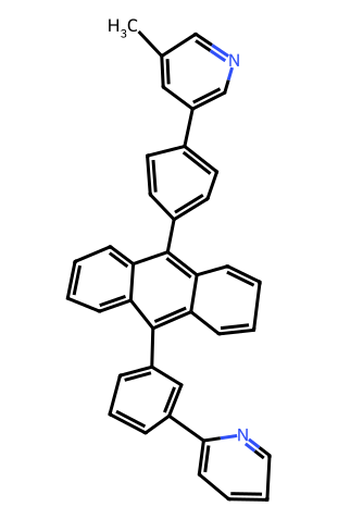 Cc1cncc(-c2ccc(-c3c4ccccc4c(-c4cccc(-c5ccccn5)c4)c4ccccc34)cc2)c1